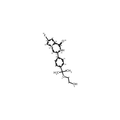 CC(C)(OCCO)c1ccc(-c2cn3cc(F)cc3c(=O)[nH]2)cc1